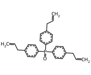 C=CCc1ccc(P(=O)(c2ccc(CC=C)cc2)c2ccc(CC=C)cc2)cc1